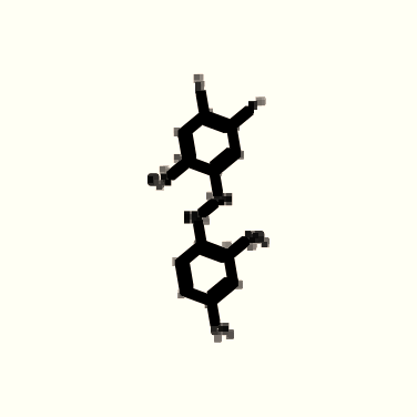 Cc1ccc(NNc2cc(F)c(F)cc2[N+](=O)[O-])c([N+](=O)[O-])c1